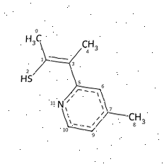 C/C(S)=C(\C)c1cc(C)ccn1